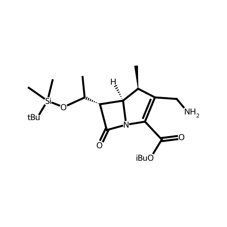 CC(C)COC(=O)C1=C(CN)[C@H](C)[C@@H]2[C@@H](C(C)O[Si](C)(C)C(C)(C)C)C(=O)N12